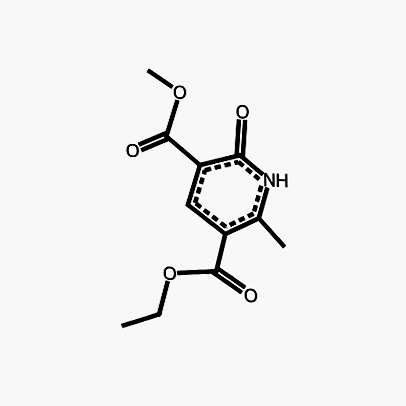 CCOC(=O)c1cc(C(=O)OC)c(=O)[nH]c1C